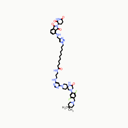 CC1(C)CCN(Cc2cc(F)c(N3CC(=O)NC4(CCN(c5cc(NCCCNC(=O)CCCCCCCCCCn6cc(CNc7cccc8c7C(=O)N(C7CCC(=O)NC7=O)C8=O)nn6)ncn5)CC4)C3)cc2F)CC1